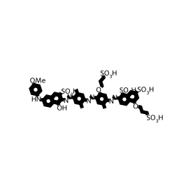 COc1ccc(Nc2ccc3c(O)c(N=Nc4cc(C)c(N=Nc5cc(C)c(N=Nc6ccc7c(OCCCS(=O)(=O)O)cc(S(=O)(=O)O)cc7c6S(=O)(=O)O)cc5OCCCS(=O)(=O)O)cc4C)c(S(=O)(=O)O)cc3c2)cc1